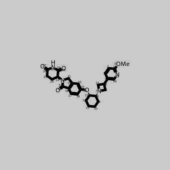 COc1ccc(C2CN([C@@H]3CCCC[C@@H]3Oc3ccc4c(c3)CN(C3CCC(=O)NC3=O)C4=O)C2)cn1